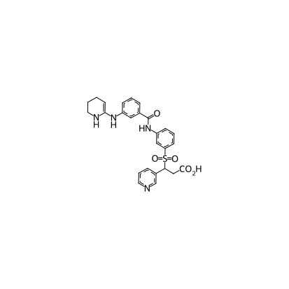 O=C(O)CC(c1cccnc1)S(=O)(=O)c1cccc(NC(=O)c2cccc(NC3=CCCCN3)c2)c1